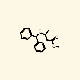 COC(=O)CC(C)NC(c1ccccc1)c1ccccc1